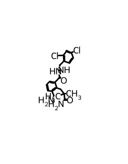 CC(C)(Cc1c(CN)cccc1C(=O)NNCc1ccc(Cl)cc1Cl)C(N)=O